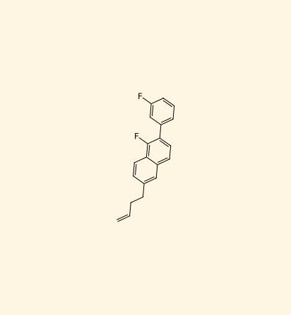 C=CCCc1ccc2c(F)c(-c3cccc(F)c3)ccc2c1